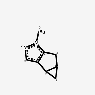 CC(C)(C)n1ncc2c1CC1CC21